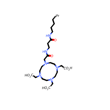 CC(C)CCCCNC(=O)CCNC(=O)CN1CCN(CC(=O)O)CCN(CC(=O)O)CCN(CC(=O)O)CC1